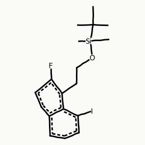 CC(C)(C)[Si](C)(C)OCCc1c(F)ccc2cccc(I)c12